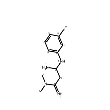 CN(C)C(=N)CC(N)Nc1cccc(I)c1